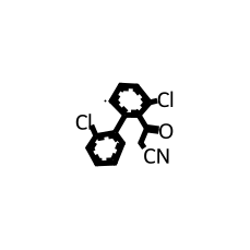 N#CCC(=O)c1c(-c2ccccc2Cl)[c]ccc1Cl